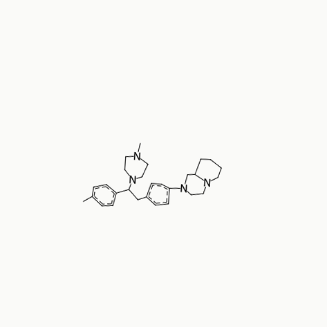 Cc1ccc(C(Cc2ccc(N3CCN4CCCCC4C3)cc2)N2CCN(C)CC2)cc1